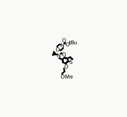 COCCCOc1cc(CN(C(=O)[C@H]2CN(C(=O)OC(C)(C)C)CCO2)C2CC2)cc2ccsc12